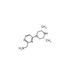 C[C@@H]1CN(c2ccnc(CN)n2)C[C@H](C)N1